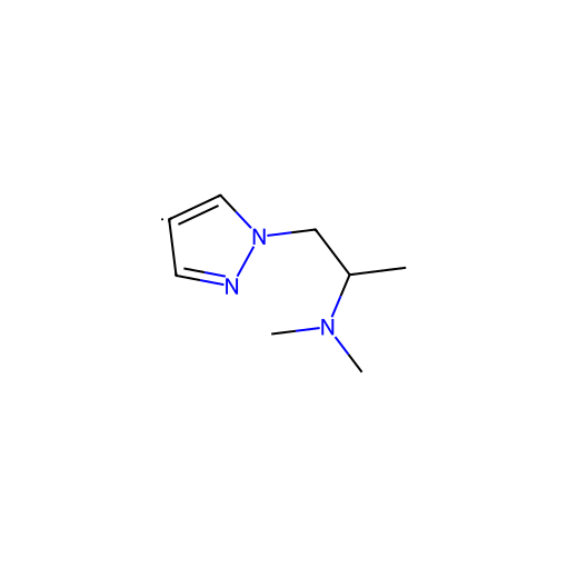 CC(Cn1c[c]cn1)N(C)C